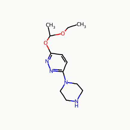 CCOC(C)Oc1ccc(N2CCNCC2)nn1